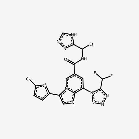 CCC(NC(=O)c1cc(-n2nnnc2C(F)F)c2ncc(-c3ccc(Cl)s3)n2c1)c1nnc[nH]1